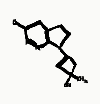 CC1(O)CC(N2CCc3cc(Cl)nnc32)C1